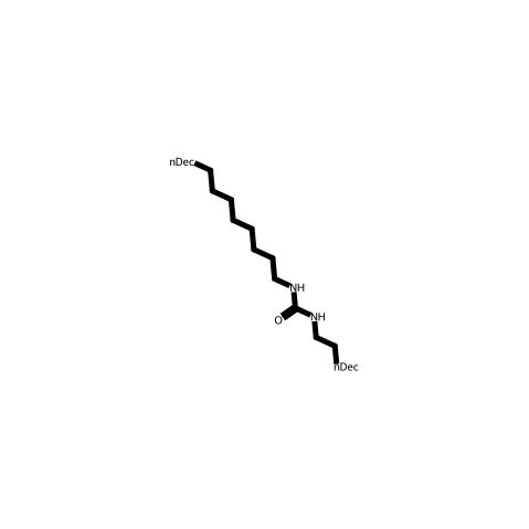 CCCCCCCCCCCCCCCCCCNC(=O)NCCCCCCCCCCCC